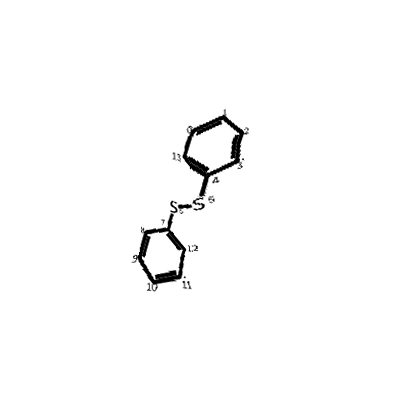 [c]1cc[c]c(SSc2[c]cc[c]c2)c1